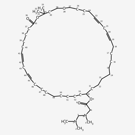 CN(C)CN(C)CC(=O)OC1CCCCCCCC/C=C\C/C=C\CCCCOCCC(C)(C)OC(=O)CCCC/C=C\C/C=C\CCCCCCCC1